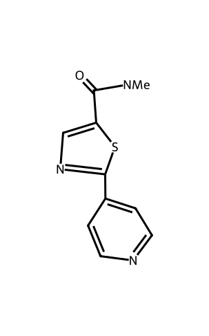 CNC(=O)c1cnc(-c2ccncc2)s1